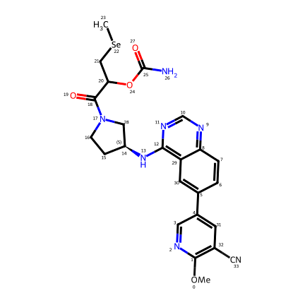 COc1ncc(-c2ccc3ncnc(N[C@H]4CCN(C(=O)C(C[Se]C)OC(N)=O)C4)c3c2)cc1C#N